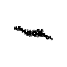 CCCCCC[C@H]1CC[C@H](C2C=CC(c3ccc(CCCC)c(F)c3F)=CC2)CC1